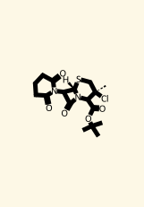 CC(C)(C)OC(=O)C1N2C(=O)C(N3C(=O)CCCC3=O)[C@@H]2SC[C@@]1(C)Cl